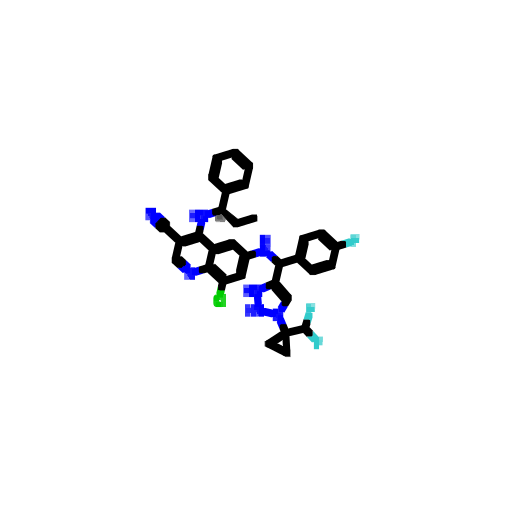 CC[C@@H](Nc1c(C#N)cnc2c(Cl)cc(NC(C3=CN(C4(C(F)F)CC4)NN3)c3ccc(F)cc3)cc12)c1ccccc1